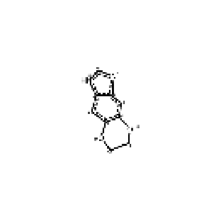 c1nc2cc3c(cc2[nH]1)OCCO3